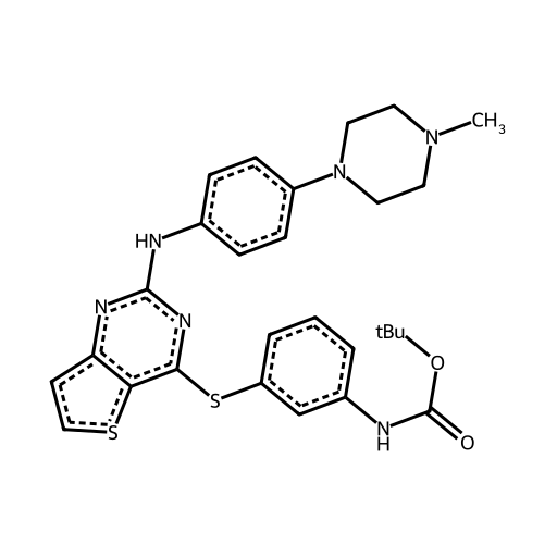 CN1CCN(c2ccc(Nc3nc(Sc4cccc(NC(=O)OC(C)(C)C)c4)c4sccc4n3)cc2)CC1